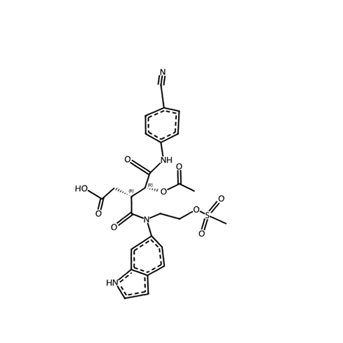 CC(=O)O[C@@H](C(=O)Nc1ccc(C#N)cc1)[C@@H](CC(=O)O)C(=O)N(CCOS(C)(=O)=O)c1ccc2cc[nH]c2c1